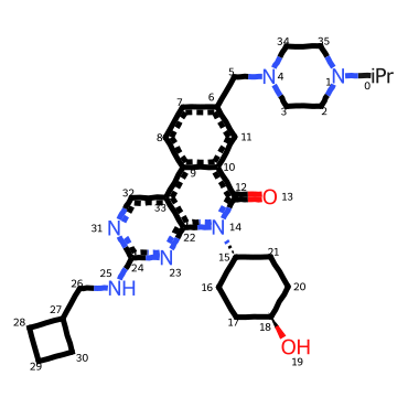 CC(C)N1CCN(Cc2ccc3c(c2)c(=O)n([C@H]2CC[C@H](O)CC2)c2nc(NCC4CCC4)ncc32)CC1